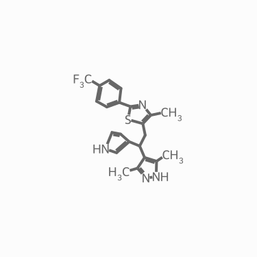 Cc1nc(-c2ccc(C(F)(F)F)cc2)sc1CC(c1cc[nH]c1)c1c(C)n[nH]c1C